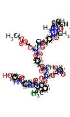 C=CCOC(=O)OCCOCCN(CCN(C)C(=O)OCc1ccc(NC(=O)[C@H](C)NC(=O)[C@H](C(C)C)N(C)C)cc1)C(=O)Oc1ccc(COC(=O)N(C)CCN(CCOCCN2C(=O)C=CC2=O)C(=O)Oc2cc3c(c4c(C)cccc24)[C@H](CCl)CN3C(=O)c2cn3cc(NC(=O)c4ccc(O)cc4)ccc3n2)cc1